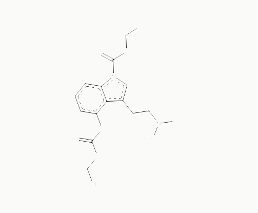 CCOC(=O)Oc1cccc2c1c(CCN(C)C)cn2C(=O)OCC